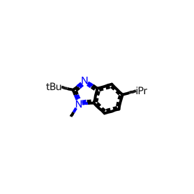 CC(C)c1ccc2c(c1)nc(C(C)(C)C)n2C